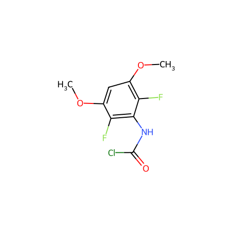 COc1cc(OC)c(F)c(NC(=O)Cl)c1F